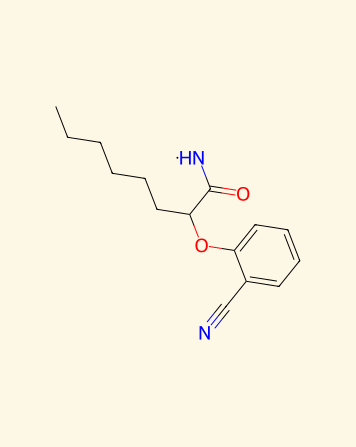 CCCCCCC(Oc1ccccc1C#N)C([NH])=O